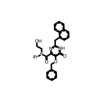 CC(C)N(CCO)C(=O)c1nc(Cc2cccc3ccccc23)[nH]c(=O)c1OCc1ccccc1